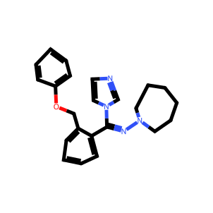 c1ccc(OCc2ccccc2C(=NN2CCCCCC2)n2ccnc2)cc1